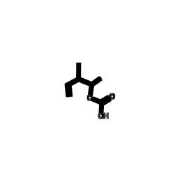 C=CC(C)C(C)OC(=O)O